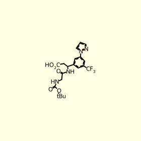 CC(C)(C)OC(=O)NCC(=O)NC(CC(=O)O)c1cc(-n2cccn2)cc(C(F)(F)F)c1